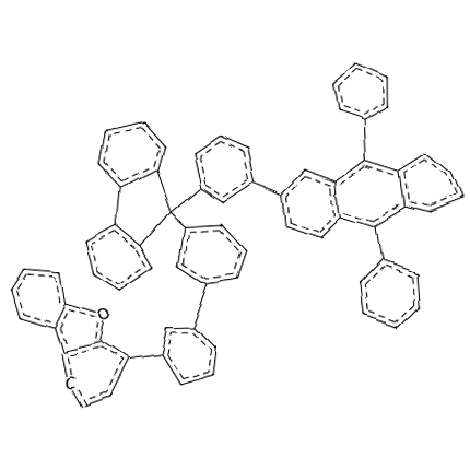 c1ccc(-c2c3ccccc3c(-c3ccccc3)c3cc(-c4cccc(C5(c6cccc(-c7cccc(-c8cccc9c8oc8ccccc89)c7)c6)c6ccccc6-c6ccccc65)c4)ccc23)cc1